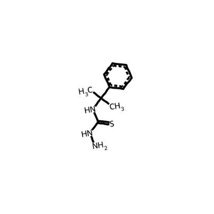 CC(C)(NC(=S)NN)c1ccccc1